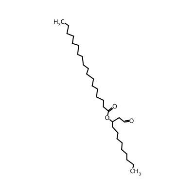 CCCCCCCCCCCCCCCCCC(=O)OC(CC=O)CCCCCCCCC